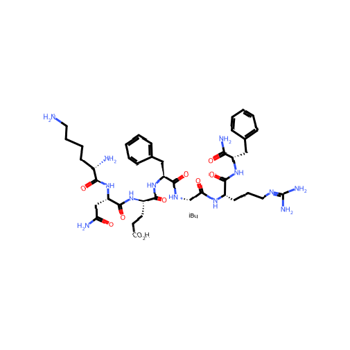 CC[C@H](C)[C@H](NC(=O)[C@H](Cc1ccccc1)NC(=O)[C@H](CCC(=O)O)NC(=O)[C@H](CC(N)=O)NC(=O)[C@@H](N)CCCCN)C(=O)N[C@@H](CCCN=C(N)N)C(=O)N[C@@H](Cc1ccccc1)C(N)=O